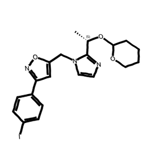 C[C@H](OC1CCCCO1)c1nccn1Cc1cc(-c2ccc(I)cc2)no1